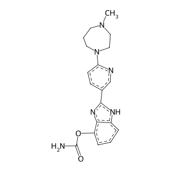 CN1CCCN(c2ccc(-c3nc4c(OC(N)=O)cccc4[nH]3)cn2)CC1